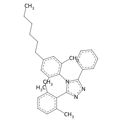 CCCCCCc1cc(C)c(-n2c(-c3ccccc3)nnc2-c2c(C)cccc2C)c(C)c1